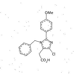 COc1ccc(-c2nc(Cl)c(CC(=O)O)n2Cc2ccccc2)cc1